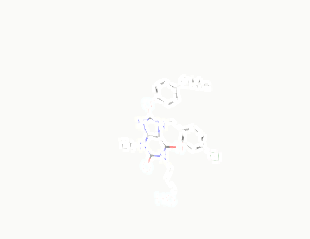 CCn1c(=O)n(CCCO)c(=O)c2c1nc(Oc1ccc(OC)cc1)n2Cc1ccc(Cl)cc1